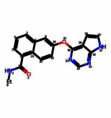 CCNC(=O)c1cccc2cc(Oc3ncnc4[nH]ccc34)ccc12